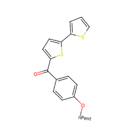 CCCCCOc1ccc(C(=O)c2ccc(-c3cccs3)s2)cc1